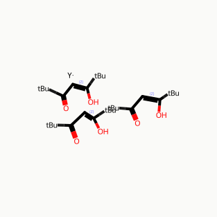 CC(C)(C)C(=O)/C=C(\O)C(C)(C)C.CC(C)(C)C(=O)/C=C(\O)C(C)(C)C.CC(C)(C)C(=O)/C=C(\O)C(C)(C)C.[Y]